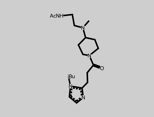 CCC(C)n1ccnc1CCC(=O)N1CCC(N(C)CCNC(C)=O)CC1